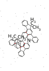 CC1(C)c2ccccc2-c2ccc(-c3ccccc3N(c3ccc4c(c3)C3(c5ccccc5-4)C4CC5CC(C4)CC3C5)c3ccccc3-c3cccc4c3C(C)(C)c3ccccc3-4)cc21